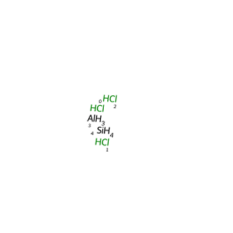 Cl.Cl.Cl.[AlH3].[SiH4]